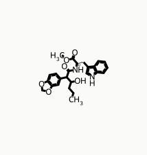 CCCC(O)C(C(=O)N[C@@H](Cc1c[nH]c2ccccc12)C(=O)OC)c1ccc2c(c1)OCO2